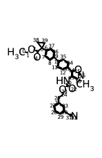 CCOC(=O)C1(c2ccc(-c3ccc(-c4onc(C)c4NC(=O)OCCc4cccc(C#N)c4)cc3)cc2)CC1